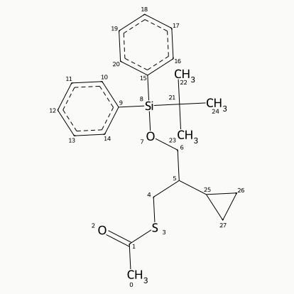 CC(=O)SCC(CO[Si](c1ccccc1)(c1ccccc1)C(C)(C)C)C1CC1